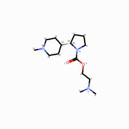 CN(C)CCOC(=O)N1CCC[C@H]1C1CCN(C)CC1